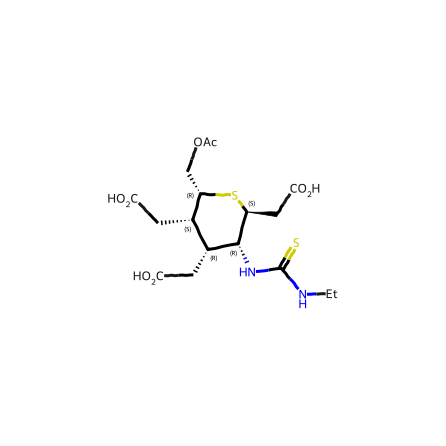 CCNC(=S)N[C@@H]1[C@H](CC(=O)O)[C@H](CC(=O)O)[C@H](COC(C)=O)S[C@H]1CC(=O)O